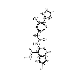 COC(C)c1c(NC(=O)Nc2cnc(-c3ncco3)c(Cl)c2)cnn2cc(C)nc12